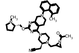 CC(=O)N1CC1CN1CCN(c2nc(OC[C@@H]3CCCN3C)nc3c2CCN(c2cccc4cccc(C)c24)C3)C[C@@H]1CC#N